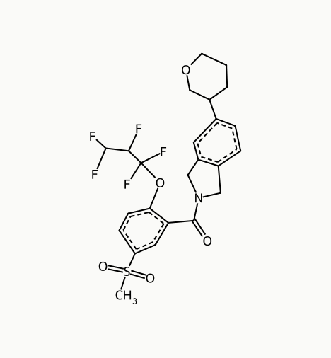 CS(=O)(=O)c1ccc(OC(F)(F)C(F)C(F)F)c(C(=O)N2Cc3ccc(C4CCCOC4)cc3C2)c1